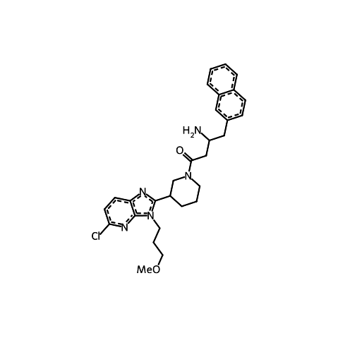 COCCCn1c(C2CCCN(C(=O)CC(N)Cc3ccc4ccccc4c3)C2)nc2ccc(Cl)nc21